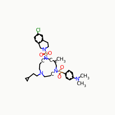 C[C@H]1CN(S(=O)(=O)c2ccc(N(C)C)cc2)CCCN(CCC2CC2)CCCN(S(=O)(=O)N2CCc3cc(Cl)ccc3C2)C1